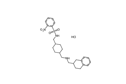 Cl.O=[N+]([O-])c1ccccc1S(=O)(=O)NCC1CCC(CNCC2CCc3ccccc3C2)CC1